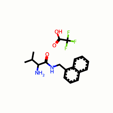 CC(C)C(N)C(=O)NCc1cccc2ccccc12.O=C(O)C(F)(F)F